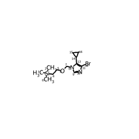 C[Si](C)(C)CCOCn1cnc(Br)c1C1CC1